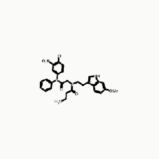 COc1ccc2c(CCN(CC(=O)N(c3ccccc3)c3ccc(Cl)c([N+](=O)[O-])c3)C(=O)CCN)c[nH]c2c1